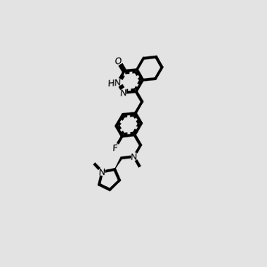 CN(Cc1cc(Cc2n[nH]c(=O)c3c2CCCC3)ccc1F)C[C@H]1CCCN1C